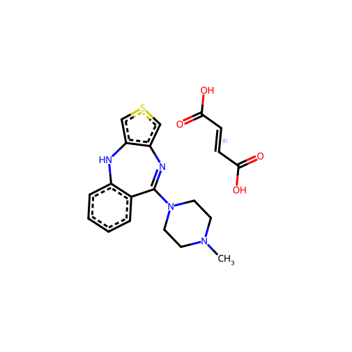 CN1CCN(C2=Nc3cscc3Nc3ccccc32)CC1.O=C(O)/C=C/C(=O)O